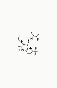 C=C(F)C(=O)N1CC(O/C(=N/C=C\C)C(=C)Nc2ccc(C(C)(F)F)nc2)C1